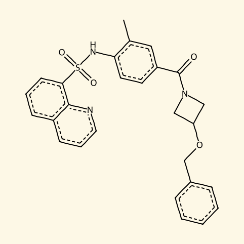 Cc1cc(C(=O)N2CC(OCc3ccccc3)C2)ccc1NS(=O)(=O)c1cccc2cccnc12